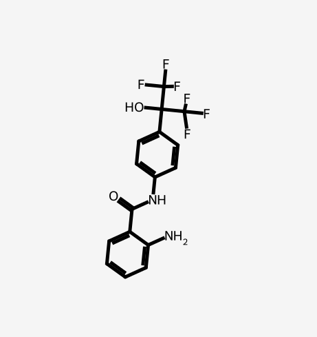 Nc1ccccc1C(=O)Nc1ccc(C(O)(C(F)(F)F)C(F)(F)F)cc1